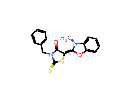 CN1/C(=C2/SC(=S)N(Cc3ccccc3)C2=O)Oc2ccccc21